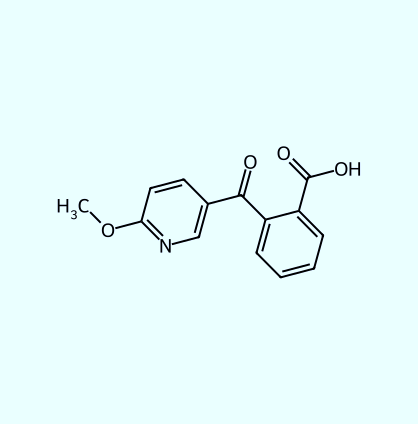 COc1ccc(C(=O)c2ccccc2C(=O)O)cn1